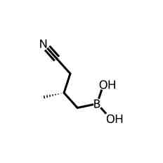 C[C@H](CC#N)CB(O)O